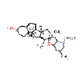 CCCCCCCN1C[C@@H](C)CC2O[C@]3(CC[C@@H]4C(=C3C)C[C@H]3[C@H]4CC=C4C[C@@H](O)CC[C@@]43C)[C@H](C)C21